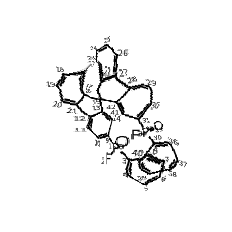 O=P(F)(c1ccccc1)c1ccc2c(c1)C1(c3ccccc3-2)c2ccccc2-c2ccc(P(=O)(F)c3ccccc3)cc21